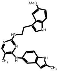 COc1ccc2[nH]cc(CCNc3ncc(C)c(Nc4ccc5[nH]c(C)cc5c4)n3)c2c1